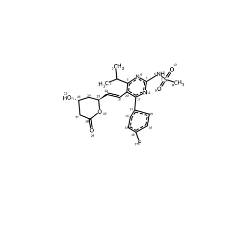 CC(C)c1nc(NS(C)(=O)=O)nc(-c2ccc(F)cc2)c1/C=C/[C@@H]1C[C@@H](O)CC(=O)O1